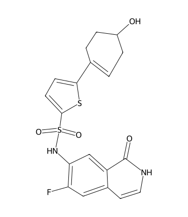 O=c1[nH]ccc2cc(F)c(NS(=O)(=O)c3ccc(C4=CCC(O)CC4)s3)cc12